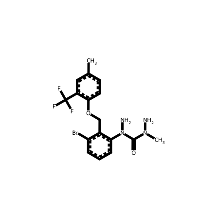 Cc1ccc(OCc2c(Br)cccc2N(N)C(=O)N(C)N)c(C(F)(F)F)c1